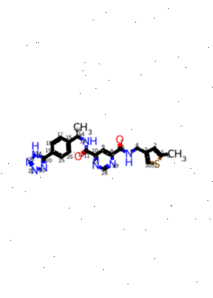 Cc1cc(CNC(=O)c2cc(C(=O)N[C@@H](C)c3ccc(-c4nnn[nH]4)cc3)ncn2)cs1